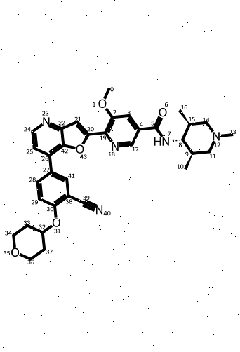 COc1cc(C(=O)N[C@H]2[C@H](C)CN(C)C[C@@H]2C)cnc1-c1cc2nccc(-c3ccc(OC4CCOCC4)c(C#N)c3)c2o1